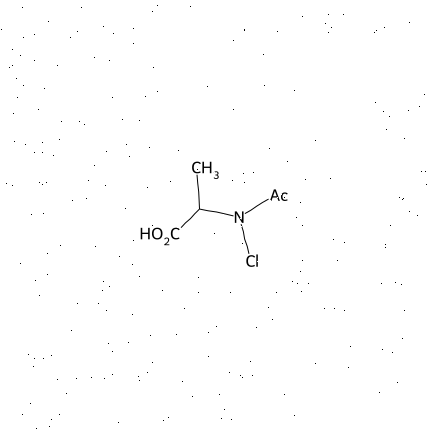 CC(=O)N(Cl)C(C)C(=O)O